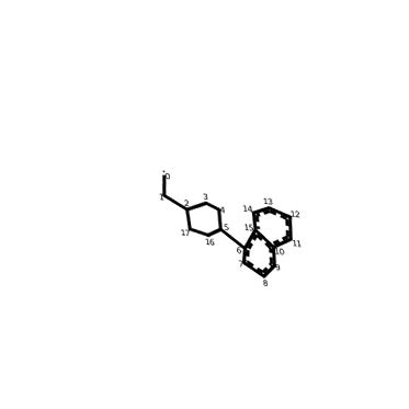 [CH2]CC1CCC(c2cccc3ccccc23)CC1